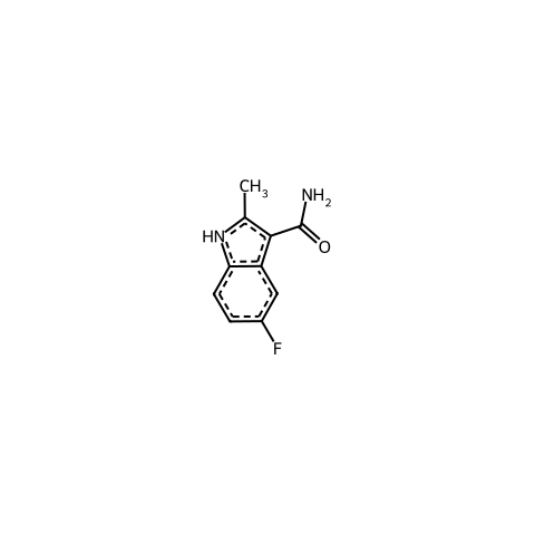 Cc1[nH]c2ccc(F)cc2c1C(N)=O